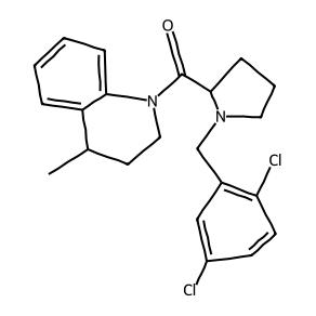 CC1CCN(C(=O)C2CCCN2Cc2cc(Cl)ccc2Cl)c2ccccc21